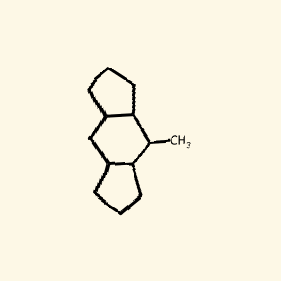 CC1C2CCCC2CC2CCCC21